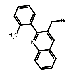 Cc1ccccc1-c1nc2ccccc2cc1CBr